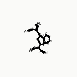 N#CC(C#N)=C1C=C(C(C#N)C#N)c2ccccc21